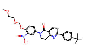 COCCOCOc1ccc(N2CCc3nc(-c4ccc(C(C)(C)C)cc4)ccc3C2=O)cc1[N+](=O)[O-]